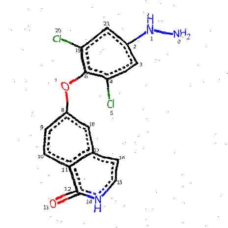 NNc1cc(Cl)c(Oc2ccc3c(=O)[nH]ccc3c2)c(Cl)c1